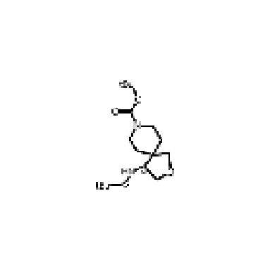 CC(C)(C)OC(=O)N1CCC2(CC1)COC[C@H]2NSC(C)(C)C